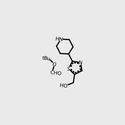 CC(C)(C)OC=O.OCc1cnc(C2CCNCC2)s1